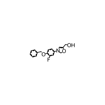 OCC1=CN(c2ccc(OCc3ccccc3)c(F)c2)CO1